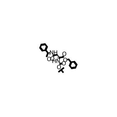 CC(C)(C)OC(=O)N[C@@H](CC(=O)N[C@@H](C=O)c1ccccc1)C(=O)OCc1ccccc1